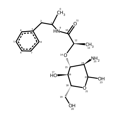 CC(Cc1ccccc1)NC(=O)[C@@H](C)O[C@H]1[C@H](O)[C@@H](CO)OC(O)[C@@H]1N